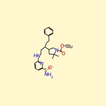 CC(C)(C)OC(=O)N1CC(C(CCNc2cccc([S+](N)[O-])n2)CCc2ccccc2)CC1(C)C